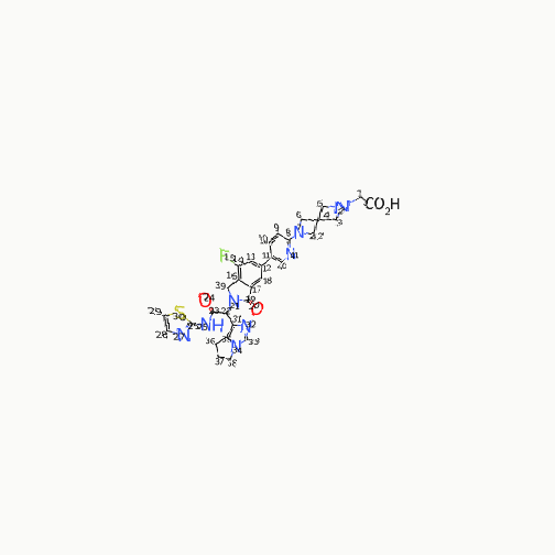 O=C(O)CN1CC2(C1)CN(c1ccc(-c3cc(F)c4c(c3)C(=O)N(C(C(=O)Nc3nccs3)c3ncn5c3CCC5)C4)cn1)C2